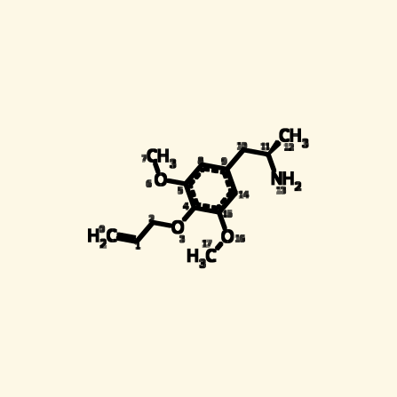 C=CCOc1c(OC)cc(C[C@@H](C)N)cc1OC